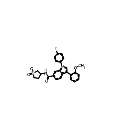 COc1ccccc1-c1cn(-c2ccc(F)cc2)c2cc(C(=O)NC3CCS(=O)(=O)C3)ccc12